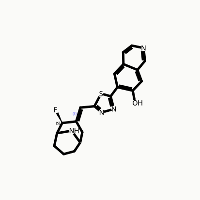 Oc1cc2cnccc2cc1-c1nnc(/C=C2\CC3CCCC(N3)[C@H]2F)s1